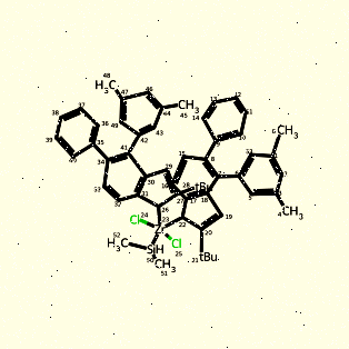 Cc1cc(C)cc(-c2c(-c3ccccc3)ccc3c2C=C(C(C)(C)C)[CH]3[Zr]([Cl])([Cl])([CH]2C(C(C)(C)C)=Cc3c2ccc(-c2ccccc2)c3-c2cc(C)cc(C)c2)[SiH](C)C)c1